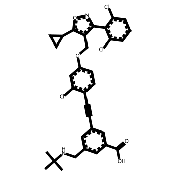 CC(C)(C)NCc1cc(C#Cc2ccc(OCc3c(-c4c(Cl)cccc4Cl)noc3C3CC3)cc2Cl)cc(C(=O)O)c1